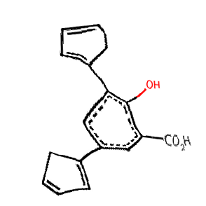 O=C(O)c1cc(C2=CC=CC2)cc(C2=CC=CC2)c1O